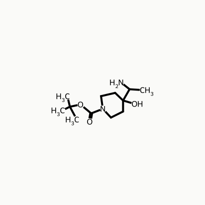 CC(N)C1(O)CCN(C(=O)OC(C)(C)C)CC1